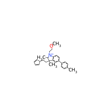 COCC[N+]1=C(C)C(C)(CCC2C=CC=C2)c2cc(-c3ccc(C)cc3)ccc21